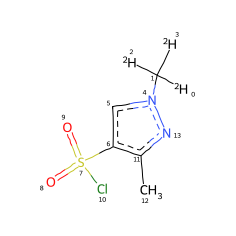 [2H]C([2H])([2H])n1cc(S(=O)(=O)Cl)c(C)n1